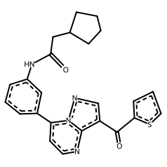 O=C(CC1CCCC1)Nc1cccc(-c2ccnc3c(C(=O)c4cccs4)cnn23)c1